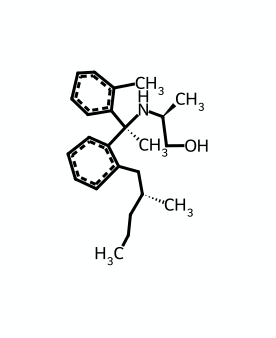 CCC[C@@H](C)Cc1ccccc1[C@](C)(N[C@@H](C)CO)c1ccccc1C